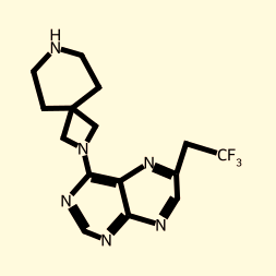 FC(F)(F)Cc1cnc2ncnc(N3CC4(CCNCC4)C3)c2n1